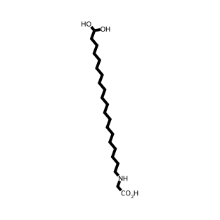 O=C(O)CNCCCCCCCCCCCCCCCCCCCC(O)O